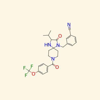 CC(C)C1NC2(CCN(C(=O)c3ccc(OC(F)(F)F)cc3)CC2)N(Cc2cccc(C#N)c2)C1=O